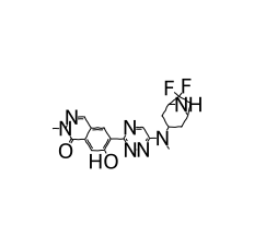 CN(c1cnc(-c2cc3cnn(C)c(=O)c3cc2O)nn1)C1CC2CC(F)(F)C(C1)N2